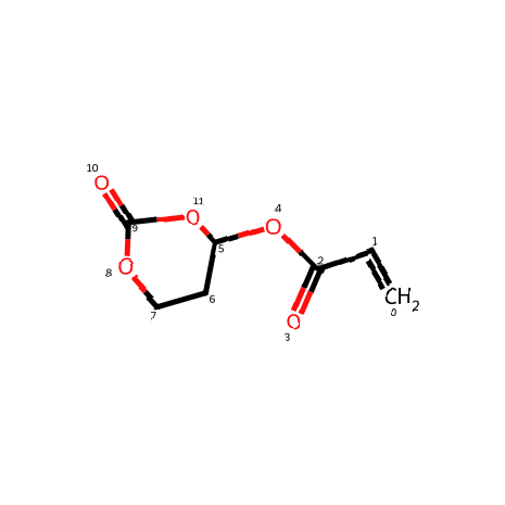 C=CC(=O)OC1CCOC(=O)O1